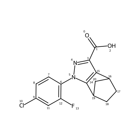 O=C(O)c1nn(-c2ccc(Cl)cc2F)c2c1C1CCC2C1